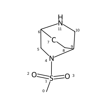 CS(=O)(=O)N1CC2CCC1CN2